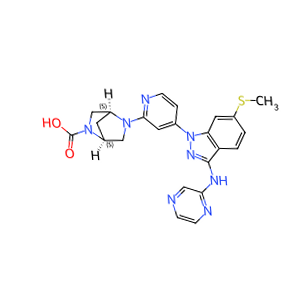 CSc1ccc2c(Nc3cnccn3)nn(-c3ccnc(N4C[C@@H]5C[C@H]4CN5C(=O)O)c3)c2c1